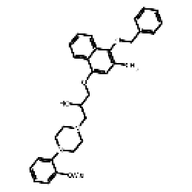 COc1ccccc1N1CCN(CC(O)COc2cc(C)c(OCc3ccccc3)c3ccccc23)CC1